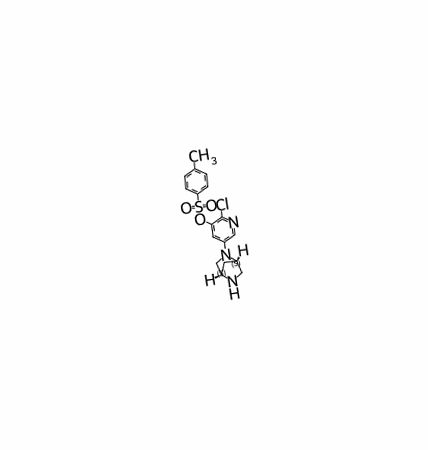 Cc1ccc(S(=O)(=O)Oc2cc(N3C[C@@H]4C[C@H]3CN4)cnc2Cl)cc1